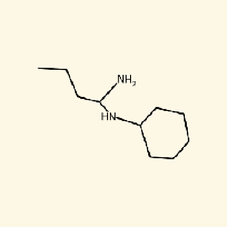 CCCC(N)NC1CCCCC1